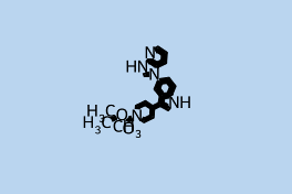 CC(C)(C)OC(=O)N1CCC(c2c[nH]c3ccc(N4CNc5ncccc54)cc23)CC1